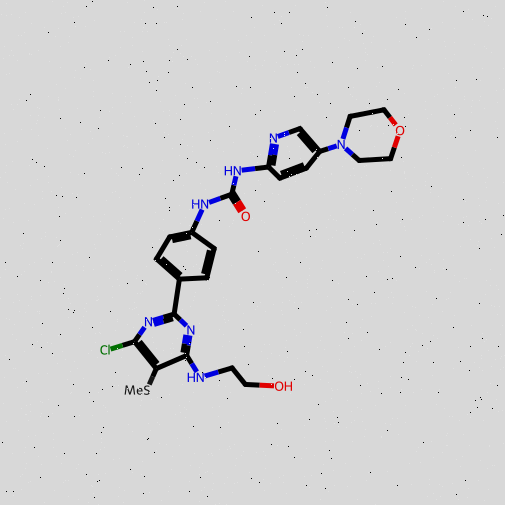 CSc1c(Cl)nc(-c2ccc(NC(=O)Nc3ccc(N4CCOCC4)cn3)cc2)nc1NCCO